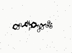 CS(=O)(=O)OCC1CN(c2ccc(-n3cc(CO[C@@H]4CCCCO4)cn3)c(F)c2)C(=O)O1